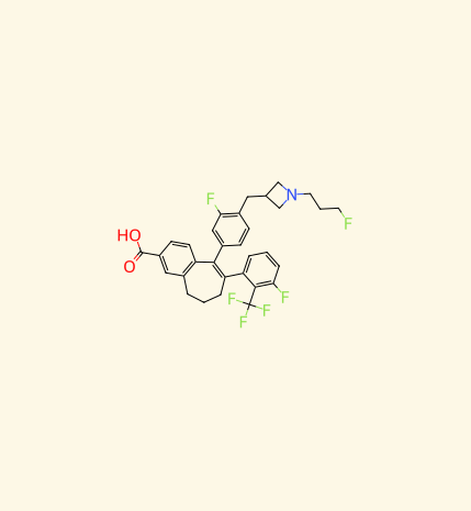 O=C(O)c1ccc2c(c1)CCCC(c1cccc(F)c1C(F)(F)F)=C2c1ccc(CC2CN(CCCF)C2)c(F)c1